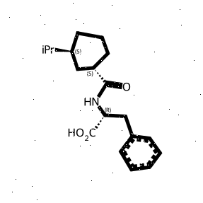 CC(C)[C@H]1CCC[C@H](C(=O)N[C@H](Cc2ccccc2)C(=O)O)C1